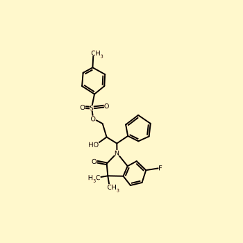 Cc1ccc(S(=O)(=O)OCC(O)C(c2ccccc2)N2C(=O)C(C)(C)c3ccc(F)cc32)cc1